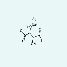 O=C([O-])C(O)C(O)C(=O)[O-].[Ag+].[Na+]